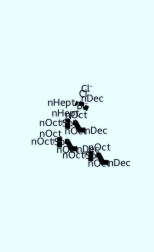 CCCCCCCCCCC[CH2][Sb+]([CH2]CCCCCCC)([CH2]CCCCCCC)[CH2]CCCCCCC.CCCCCCCCCCC[CH2][Sb+]([CH2]CCCCCCC)([CH2]CCCCCCC)[CH2]CCCCCCC.CCCCCCCCCCC[CH2][Sb+]([CH2]CCCCCCC)([CH2]CCCCCCC)[CH2]CCCCCCC.CCCCCCCCC[CH2][Bi-]([CH3])([CH2]CCCCCC)[CH2]CCCCCC.[Cl-].[Cl-]